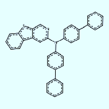 c1ccc(-c2ccc(N(c3ccc(-c4ccccc4)cc3)c3cc4c(cn3)sc3ccccc34)cc2)cc1